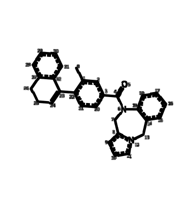 Cc1cc(C(=O)N2Cc3cccn3Cc3ccccc32)ccc1C1=CCCc2ccccc21